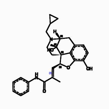 C/C(=C\[C@@H]1Oc2c(O)ccc3c2[C@@]12CCN(CC1CC1)[C@H](C3)[C@@]2(C)O)C(=O)Nc1ccccc1